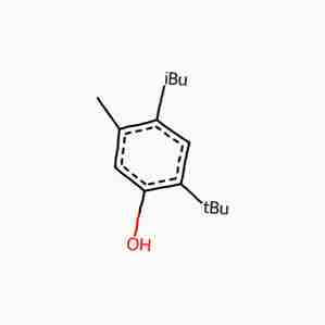 CCC(C)c1cc(C(C)(C)C)c(O)cc1C